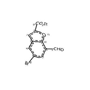 CCOC(=O)c1cc2cc(Br)cc(C=O)c2o1